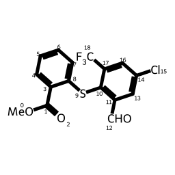 COC(=O)c1ccccc1Sc1c(C=O)cc(Cl)cc1C(F)(F)F